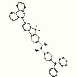 [2H]/C(=C(/[2H])c1ccc2c(c1)C(C)(C)c1cc(-c3cc4ccccc4c4ccccc34)ccc1-2)c1ccc(N(c2ccccc2)c2ccccc2)cc1